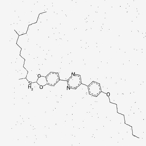 CCCCCCCCOc1ccc(-c2cnc(-c3ccc4c(c3)OC([SiH2]C(C)CCCCCCC(C)CCCCC)O4)nc2)cc1